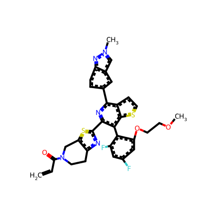 C=CC(=O)N1CCc2nc(-c3nc(-c4ccc5nn(C)cc5c4)c4ccsc4c3-c3c(F)cc(F)cc3OCCOC)sc2C1